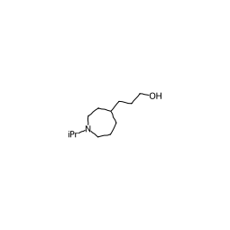 CC(C)N1CCCC(CCCO)CC1